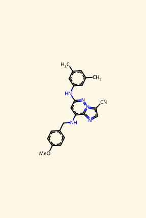 COc1ccc(CNc2cc(Nc3cc(C)cc(C)c3)nn3c(C#N)cnc23)cc1